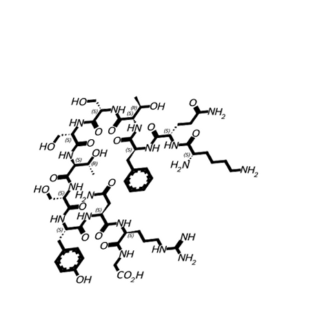 C[C@@H](O)[C@H](NC(=O)[C@H](CO)NC(=O)[C@H](CO)NC(=O)[C@@H](NC(=O)[C@H](Cc1ccccc1)NC(=O)[C@H](CCC(N)=O)NC(=O)[C@@H](N)CCCCN)[C@@H](C)O)C(=O)N[C@@H](CO)C(=O)N[C@@H](Cc1ccc(O)cc1)C(=O)N[C@@H](CC(N)=O)C(=O)N[C@@H](CCCNC(=N)N)C(=O)NCC(=O)O